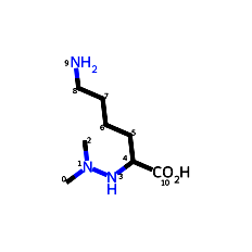 CN(C)NC(CCCCN)C(=O)O